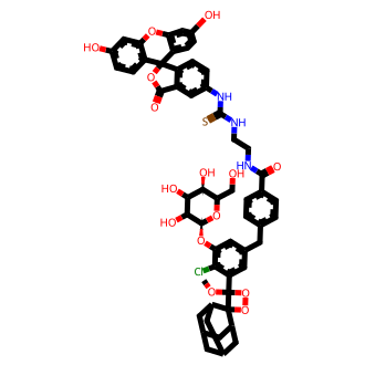 COC1(c2cc(Cc3ccc(C(=O)NCCNC(=S)Nc4ccc5c(c4)C(=O)OC54c5ccc(O)cc5Oc5cc(O)ccc54)cc3)cc(O[C@@H]3OC(CO)[C@H](O)C(O)C3O)c2Cl)OOC12C1CC3CC(C1)CC2C3